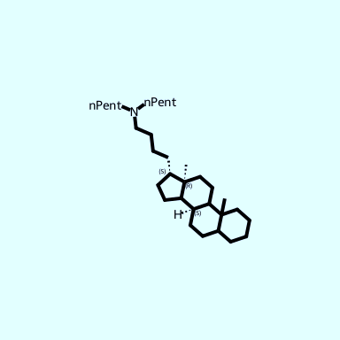 CCCCCN(CCCCC)CCCC[C@H]1CCC2[C@@H]3CCC4CCCCC4(C)C3CC[C@@]21C